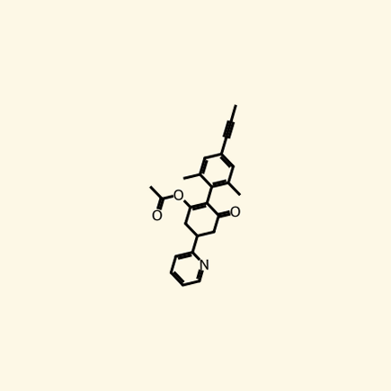 CC#Cc1cc(C)c(C2=C(OC(C)=O)CC(c3ccccn3)CC2=O)c(C)c1